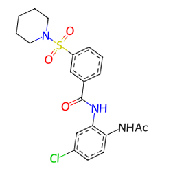 CC(=O)Nc1ccc(Cl)cc1NC(=O)c1cccc(S(=O)(=O)N2CCCCC2)c1